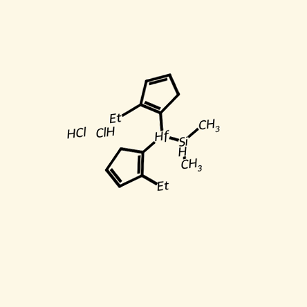 CCC1=[C]([Hf]([C]2=C(CC)C=CC2)[SiH](C)C)CC=C1.Cl.Cl